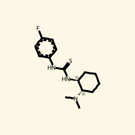 CN(C)[C@H]1CCCC[C@@H]1NC(=S)Nc1ccc(F)cc1